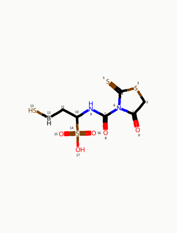 O=C1CSC(=S)N1C(=O)NC(CBS)S(=O)(=O)O